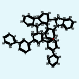 c1ccc(-c2cccc(-c3nc(-c4cccc(-c5ccccn5)c4)nc(-n4c5ccccc5c5ccc6c(c7ccccc7n7c8ccccc8nc67)c54)n3)c2)nc1